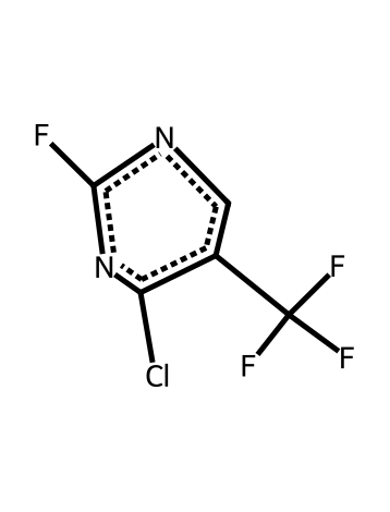 Fc1ncc(C(F)(F)F)c(Cl)n1